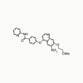 COCCOc1cc2nccc(Oc3ccc(C(=O)Nc4ccccn4)cc3)c2cc1[N+](=O)[O-]